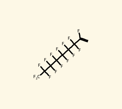 C=C(F)C(F)(F)C(F)(F)C(F)(F)C(F)(F)C(F)(F)C(F)(F)C(F)(F)F